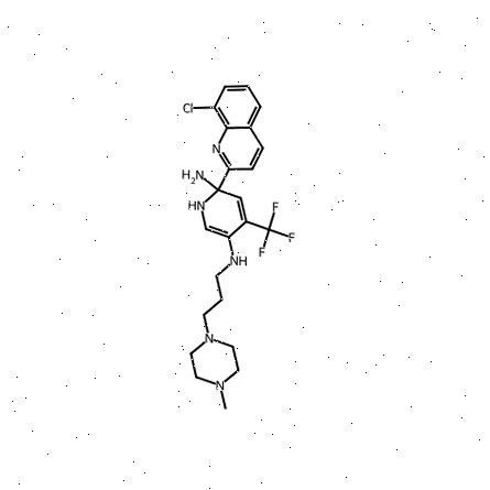 CN1CCN(CCCNC2=CNC(N)(c3ccc4cccc(Cl)c4n3)C=C2C(F)(F)F)CC1